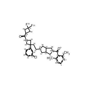 Cc1ncnc(C)c1C(=O)N1CC2CN(CCC3(c4cccc(Cl)c4)CN(C(=O)C4CC(F)(F)C4)C3)CC2C1